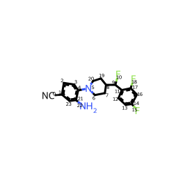 N#Cc1ccc(N2CCC(C(F)c3ccc(F)cc3F)CC2)c(N)c1